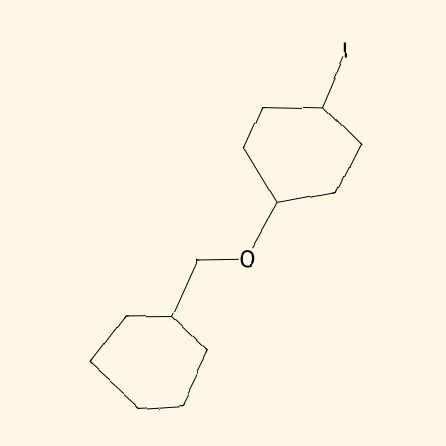 IC1CCC(OCC2CCCCC2)CC1